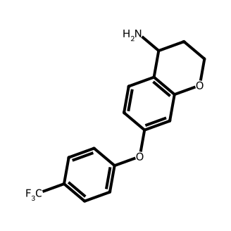 NC1CCOc2cc(Oc3ccc(C(F)(F)F)cc3)ccc21